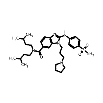 CC(C)CCN(CCC(C)C)C(=O)c1ccc2nc(Nc3ccc(S(N)(=O)=O)cc3)n(CCCN3CCCC3)c2c1